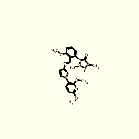 COc1ccc(-n2ccc(OCc3c(OC)cccc3N3C(=O)N(C)NN3C)n2)c(OC)n1